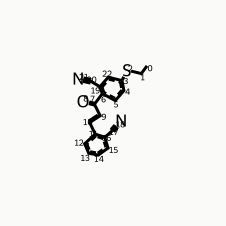 CCSc1ccc(C(=O)/C=C/c2ccccc2C#N)c(C#N)c1